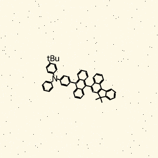 CC(C)(C)c1ccc(N(c2ccccc2)c2ccc(-c3c4ccccc4c(-c4cc5c(c6ccccc46)-c4ccccc4C5(C)C)c4ccccc34)cc2)cc1